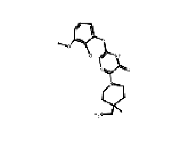 COc1cccc(Sc2cnc(N3CCC(C)(CN)CC3)c(=O)[nH]2)c1Cl